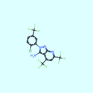 Nc1c2c(C(F)(F)F)cc(C(F)(F)F)nc2nn1-c1cc(C(F)(F)F)ccc1Cl